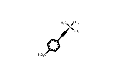 CCOC(=O)c1ccc(C#C[Si](C)(C)C)cc1